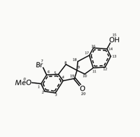 COc1ccc2c(c1Br)CC1(Cc3ccc(O)cc3C1)C2=O